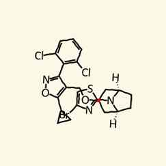 Clc1cccc(Cl)c1-c1noc(C2CC2)c1COC1C[C@H]2CC[C@@H](C1)N2c1nc(Br)cs1